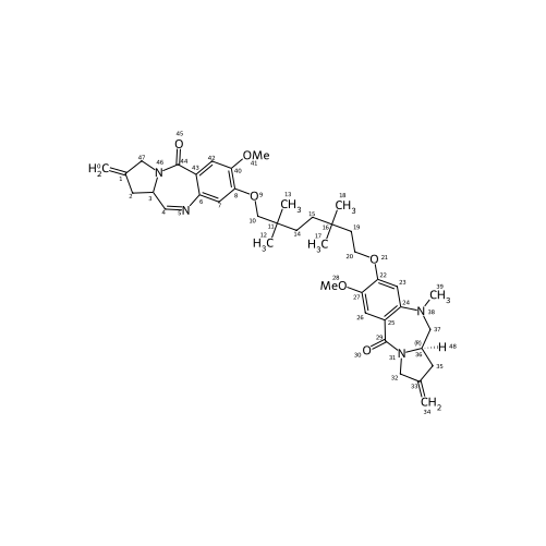 C=C1CC2C=Nc3cc(OCC(C)(C)CCC(C)(C)CCOc4cc5c(cc4OC)C(=O)N4CC(=C)C[C@@H]4CN5C)c(OC)cc3C(=O)N2C1